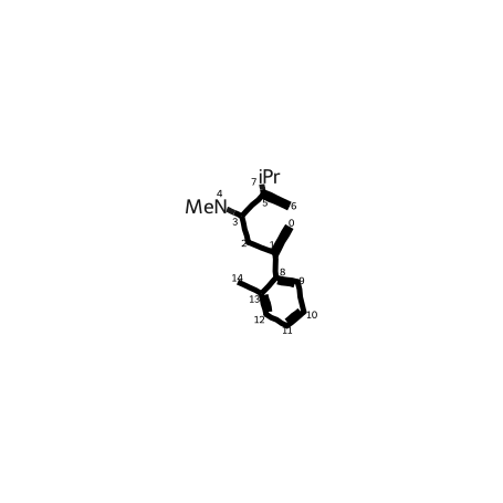 C=C(CC(NC)C(=C)C(C)C)c1ccccc1C